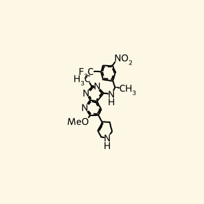 COc1nc2nc(C)nc(N[C@H](C)c3cc([N+](=O)[O-])cc(C(F)(F)F)c3)c2cc1C1=CCNCC1